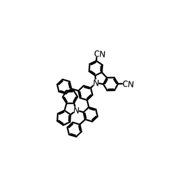 N#Cc1ccc2c(c1)c1cc(C#N)ccc1n2-c1cc(-c2ccccc2)cc(-c2cccc(-c3ccccc3)c2-n2c3ccccc3c3ccccc32)c1